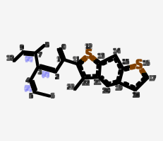 C=C(/C=C(/C=C\C)C(\C)=C/C)c1sc2cc3sccc3cc2c1C